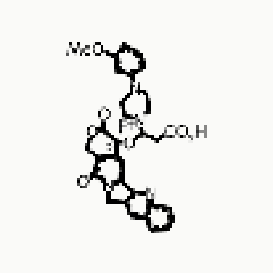 CC[C@@]1(OC(CC(=O)O)N2CCN(c3cccc(OC)c3)CC2)C(=O)OCc2c1cc1n(c2=O)Cc2cc3ccccc3nc2-1